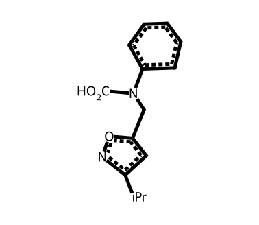 CC(C)c1cc(CN(C(=O)O)c2ccccc2)on1